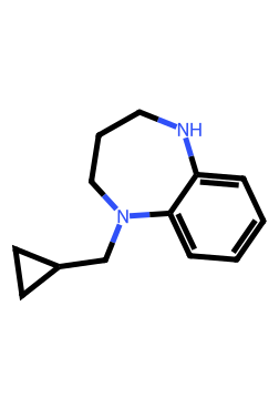 c1ccc2c(c1)NCCCN2CC1CC1